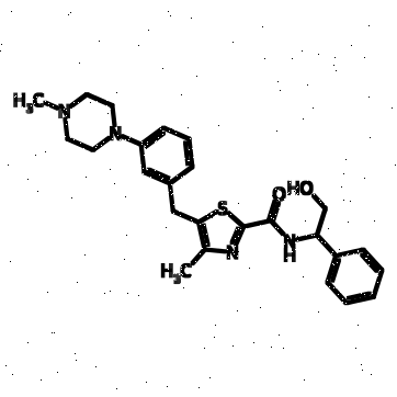 Cc1nc(C(=O)NC(CO)c2ccccc2)sc1Cc1cccc(N2CCN(C)CC2)c1